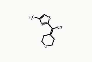 N#CC(=C1CCOCC1)c1nc(C(F)(F)F)cs1